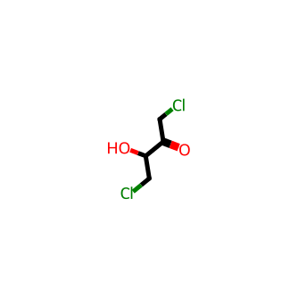 O=C(CCl)C(O)CCl